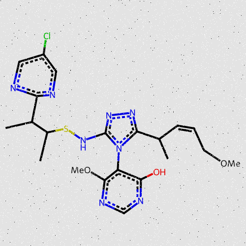 COC/C=C\C(C)c1nnc(NSC(C)C(C)c2ncc(Cl)cn2)n1-c1c(O)ncnc1OC